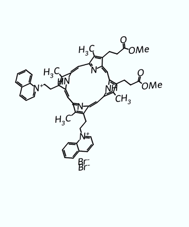 COC(=O)CCC1=C(C)c2cc3[nH]c(cc4nc(cc5[nH]c(cc1n2)c(CCC(=O)OC)c5C)C(CC[n+]1cccc2ccccc21)=C4C)c(CC[n+]1cccc2ccccc21)c3C.[Br-].[Br-]